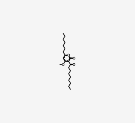 CCCCCCCCC(=O)c1c(OC)cc(CCCCCCC)oc1=O